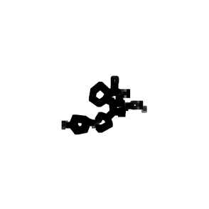 Cn1nc(C2CCN(c3ccc(F)cc3)C2)c2c3c(c(=O)[nH]c21)CCCC3